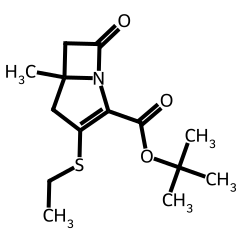 CCSC1=C(C(=O)OC(C)(C)C)N2C(=O)CC2(C)C1